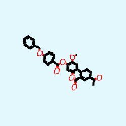 COc1cc2c(cc1OC(=O)c1ccc(OCc3ccccc3)cc1)oc(=O)c1cc(C(C)=O)ccc12